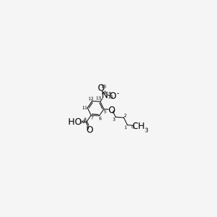 CCCCOc1cc(C(=O)O)ccc1[N+](=O)[O-]